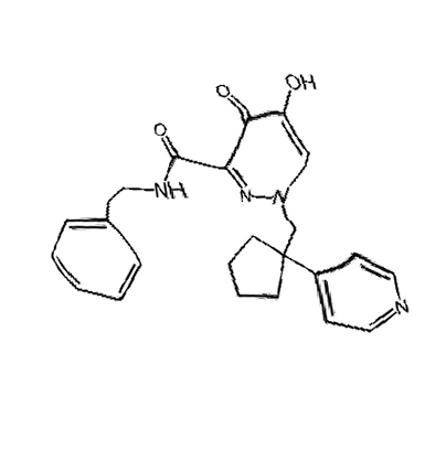 O=C(NCc1ccccc1)c1nn(CC2(c3ccncc3)CCCC2)cc(O)c1=O